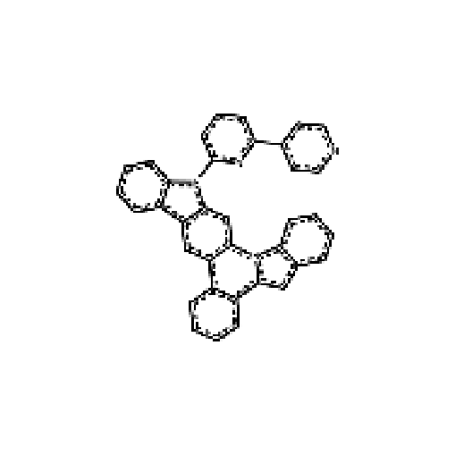 c1cc(-c2ccncc2)nc(-n2c3ccccc3c3cc4c5ccccc5c5cc6ccccc6n5c4cc32)c1